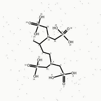 CC(CCN(CP(=O)(O)O)CP(=O)(O)O)N(CP(=O)(O)O)CP(=O)(O)O